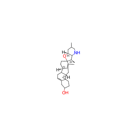 CC1=C2C[C@H]3C(CC=C4CC(O)CCC43C)[C@@H]2CCC12O[C@@H]1CC(C)CNC1[C@H]2C